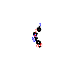 Cc1c(-c2ccc3c(c2)OCCO3)ncnc1N1CCC(Oc2cccc(C#N)c2)CC1